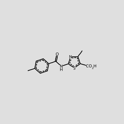 Cc1ccc(C(=O)Nc2nc(C)c(C(=O)O)s2)cc1